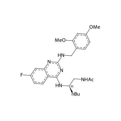 CCCC[C@H](CNC(C)=O)Nc1nc(NCc2ccc(OC)cc2OC)nc2cc(F)ccc12